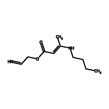 CCCCNC(C)=CC(=O)OCC=N